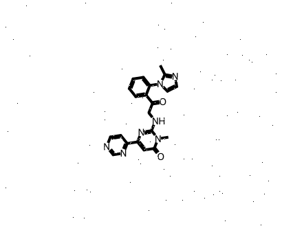 Cc1nccn1-c1ccccc1C(=O)CNc1nc(-c2ccncn2)cc(=O)n1C